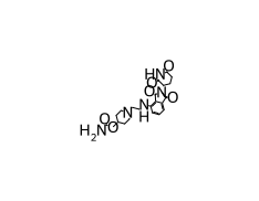 NC(=O)OC1CCN(CCNc2cccc3c2C(=O)N(C2CCC(=O)NC2=O)C3=O)CC1